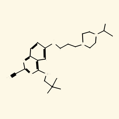 CC(C)N1CCN(CCCOc2ccc3nc(C#N)nc(NCC(C)(C)C)c3c2)CC1